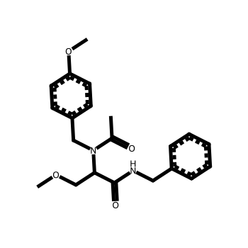 COCC(C(=O)NCc1ccccc1)N(Cc1ccc(OC)cc1)C(C)=O